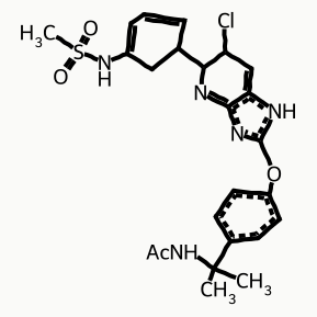 CC(=O)NC(C)(C)c1ccc(Oc2nc3c([nH]2)=CC(Cl)C(C2C=CC=C(NS(C)(=O)=O)C2)N=3)cc1